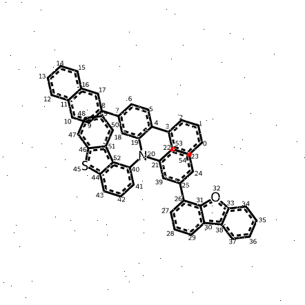 c1ccc(-c2ccc(-c3ccc4ccccc4c3)cc2N(c2cccc(-c3cccc4c3oc3ccccc34)c2)c2cccc3sc4ccccc4c23)cc1